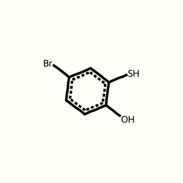 Oc1ccc(Br)cc1S